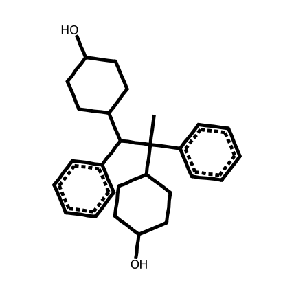 CC(c1ccccc1)(C1CCC(O)CC1)C(c1ccccc1)C1CCC(O)CC1